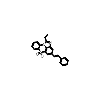 CCc1nc2cc(/C=C/c3ccccc3)cc3c2n1-c1ccccc1S3(=O)=O